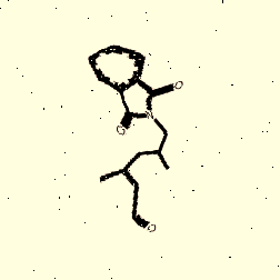 CC(CC=O)CC(C)CN1C(=O)c2ccccc2C1=O